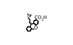 CN(C)CC/C=C1/c2ccccc2COc2ccc(C(=O)O)cc21